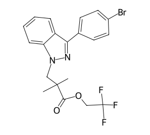 CC(C)(Cn1nc(-c2ccc(Br)cc2)c2ccccc21)C(=O)OCC(F)(F)F